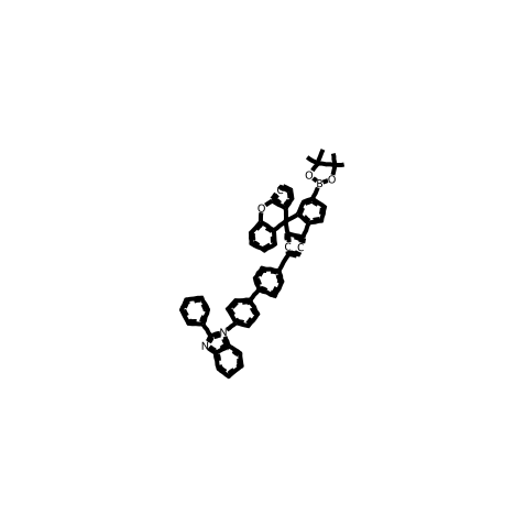 CC1(C)OB(c2ccc3c(c2)C2(c4ccccc4Oc4ccccc42)c2cc(-c4ccc(-c5ccc(-n6c(-c7ccccc7)nc7ccccc76)cc5)cc4)ccc2-3)OC1(C)C